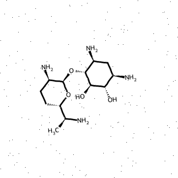 C[C@H](N)[C@@H]1CC[C@@H](N)[C@@H](O[C@H]2[C@H](O)[C@@H](O)[C@H](N)C[C@@H]2N)O1